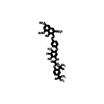 CCC(C)(C)c1ccc(OCC(=O)Nc2cc(Oc3ccc(/N=N/c4c(S(=O)(=O)O)cc5cc(S(=O)(=O)O)cc(NC(C)=O)c5c4O)cc3)c(C)c(Cl)c2O)c(C(C)(C)CC)c1